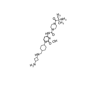 CC(C)(N)C(=O)N1CCN(C(=O)Nc2ccn(C3CCC(CNC4CC(N)C4)CC3)c(=O)n2)CC1.Cl